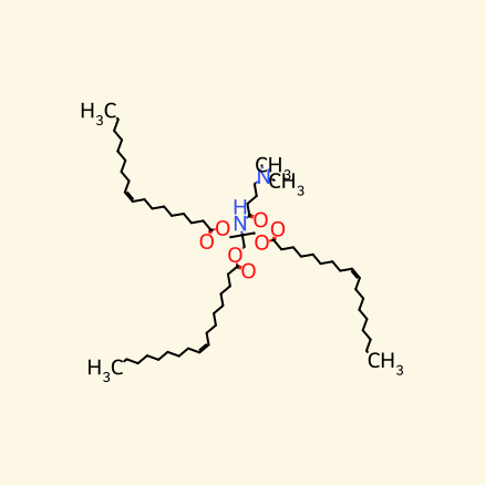 CCCCCCCC/C=C\CCCCCCCC(=O)OCC(COC(=O)CCCCCCC/C=C\CCCCCCCC)(COC(=O)CCCCCCC/C=C\CCCCCCCC)NC(=O)CCCN(C)C